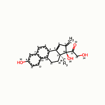 C=C1C=C2c3ccc4cc(O)ccc4c3CC[C@]2(C)[C@@]1(O)C(=O)CO